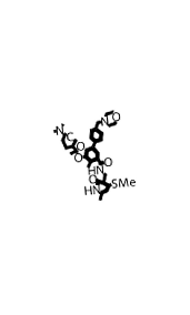 CSc1cc(C)[nH]c(=O)c1CNC(=O)c1cc(-c2ccc(CN3CCOCC3)cc2)c2c(c1C)OC(C)(C1CCC(N(C)C)CC1)O2